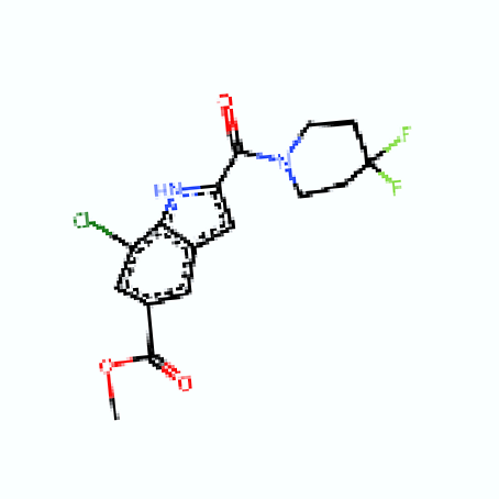 COC(=O)c1cc(Cl)c2[nH]c(C(=O)N3CCC(F)(F)CC3)cc2c1